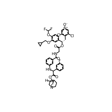 O=C(CNC(=O)c1cccc(NC(C(=O)O[C@H]2CN3CCC2CC3)c2cccc(F)c2)c1)O[C@@H](Cc1c(Cl)c[n+]([O-])cc1Cl)c1ccc(OC(F)F)c(OCC2CC2)c1